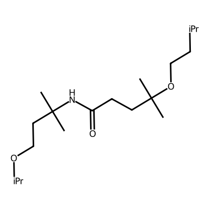 CC(C)CCOC(C)(C)CCC(=O)NC(C)(C)CCOC(C)C